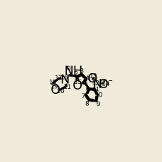 N=C(c1ccc(-c2ccccc2[N+](=O)[O-])o1)N1CCOCC1